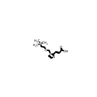 C[Si](C)(C)CCOCn1ccnc1/C=C/C(=O)O